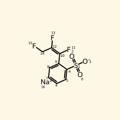 O=S(=O)([O-])c1ccccc1/C(F)=C(/F)CF.[Na+]